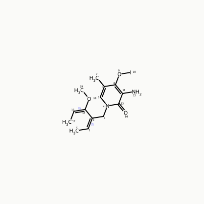 C/C=C(Cn1cc(C)c(OI)c(N)c1=O)\C(=C/C)OC